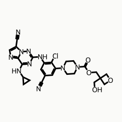 N#Cc1cc(Nc2nc(NC3CC3)c3ncc(C#N)n3n2)c(Cl)c(N2CCN(C(=O)OCC3(CO)COC3)CC2)c1